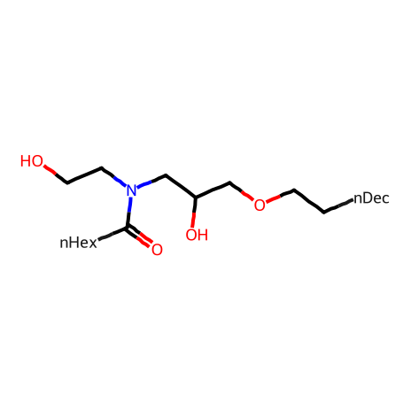 CCCCCCCCCCCCOCC(O)CN(CCO)C(=O)CCCCCC